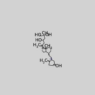 C=C1CC[C@H](O)C/C1=C/C=C1CCC[C@@]2(C)C1CC[C@@H]2[C@H](C)CC(O)CC(C)(O)CO